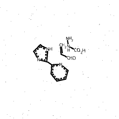 C=CC=O.NNC(=O)O.c1ccc(-c2ncc[nH]2)nc1